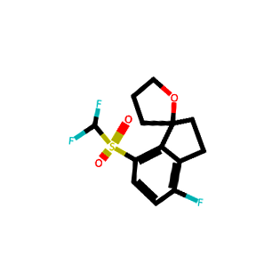 O=S(=O)(c1ccc(F)c2c1C1(CCCO1)CC2)C(F)F